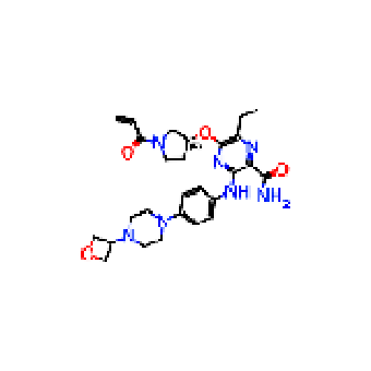 C=CC(=O)N1CC[C@@H](Oc2nc(Nc3ccc(N4CCN(C5COC5)CC4)cc3)c(C(N)=O)nc2CC)C1